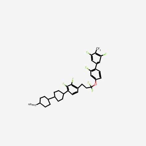 CCCCCC1CCC(C2CCC(c3ccc(CCC(F)(F)Oc4ccc(-c5cc(F)c(C(F)(F)F)c(F)c5)c(F)c4)c(F)c3F)CC2)CC1